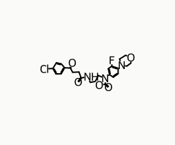 O=C(CCC(=O)c1ccc(Cl)cc1)NCC1CN(c2ccc(N3CCOCC3)c(F)c2)C(=O)O1